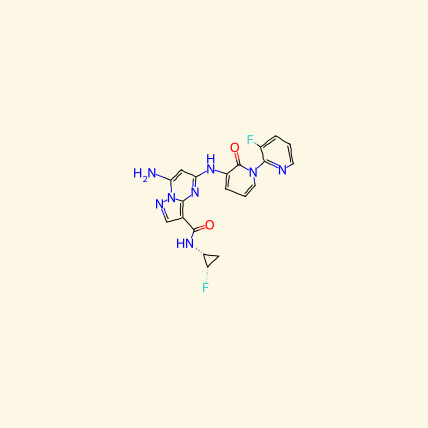 Nc1cc(Nc2cccn(-c3ncccc3F)c2=O)nc2c(C(=O)N[C@@H]3C[C@@H]3F)cnn12